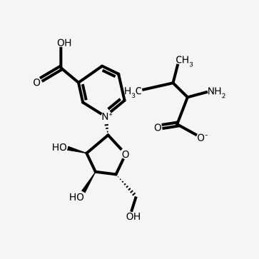 CC(C)C(N)C(=O)[O-].O=C(O)c1ccc[n+]([C@@H]2O[C@H](CO)[C@@H](O)[C@H]2O)c1